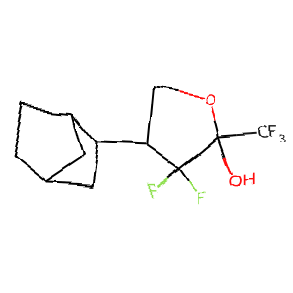 OC1(C(F)(F)F)OCC(C2CC3CCC2C3)C1(F)F